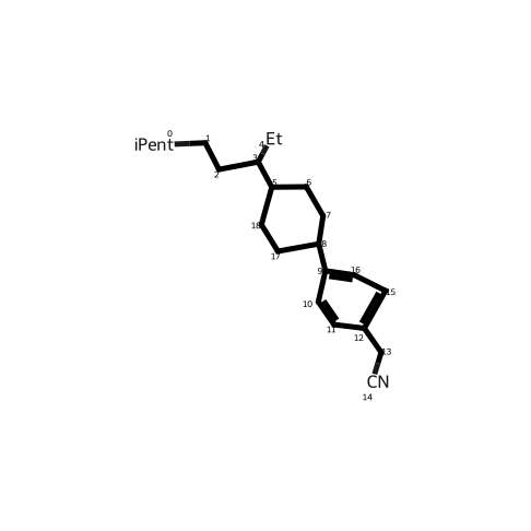 CCCC(C)CCC(CC)C1CCC(c2ccc(CC#N)cc2)CC1